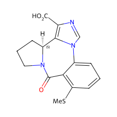 CSc1cccc2c1C(=O)N1CCC[C@H]1c1c(C(=O)O)ncn1-2